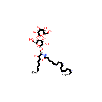 CCCCC/C=C\C/C=C\C/C=C\C/C=C\CCCC(=O)N[C@@H](CO[C@@H]1O[C@H](CO)[C@@H](O[C@@H]2O[C@H](CO)[C@H](O)[C@H](O)[C@H]2O)[C@H](O)[C@H]1O)[C@H](O)/C=C/CCCCCCCCCCCCC